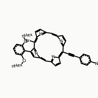 CCCCCCOc1cccc(OCCCCCC)c1C1=CC2=CC3=NC(=C(C#Cc4ccc(N)cc4)C4=NC(=CC5=NC(=C(Br)C1=N2)C=C5)C=C4)C=C3